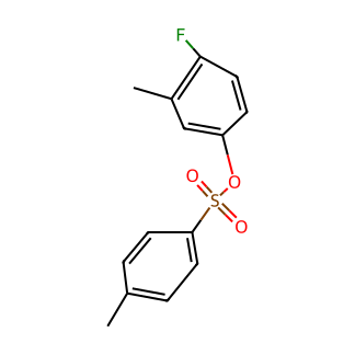 Cc1ccc(S(=O)(=O)Oc2ccc(F)c(C)c2)cc1